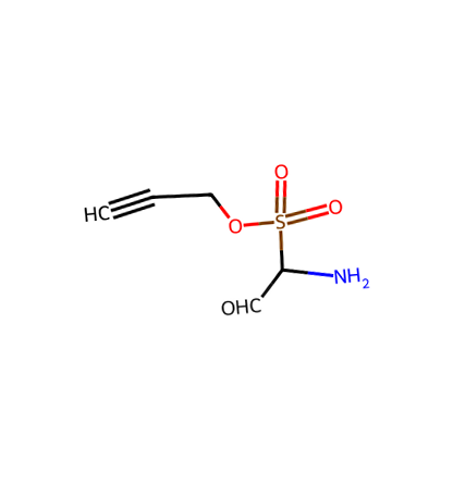 C#CCOS(=O)(=O)C(N)C=O